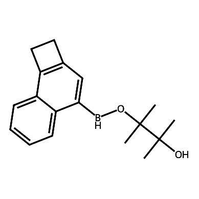 CC(C)(O)C(C)(C)OBc1cc2c(c3ccccc13)CC2